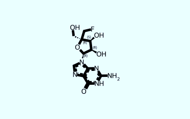 Nc1nc2c(ncn2[C@@H]2O[C@@](CO)(CF)[C@@H](O)[C@H]2O)c(=O)[nH]1